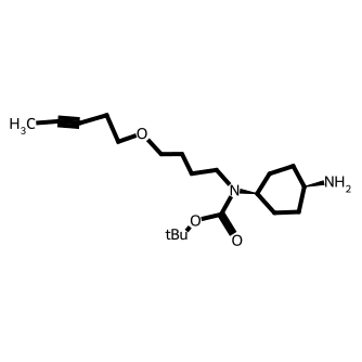 CC#CCCOCCCCN(C(=O)OC(C)(C)C)[C@H]1CC[C@@H](N)CC1